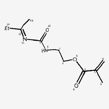 C=C(C)C(=O)OCCNC(=O)/N=C(\C)CC